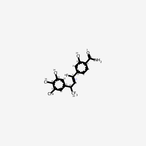 NC(=O)c1ccc(/C(F)=C/C(c2cc(Cl)c(Cl)c(Cl)c2)C(F)(F)F)cc1Cl